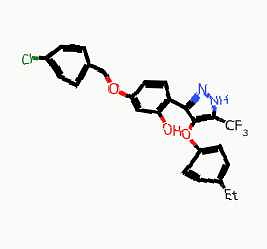 CCc1ccc(Oc2c(-c3ccc(OCc4ccc(Cl)cc4)cc3O)n[nH]c2C(F)(F)F)cc1